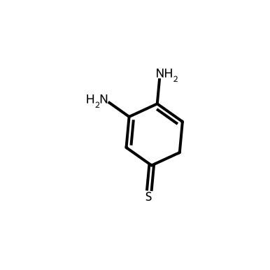 NC1=CCC(=S)C=C1N